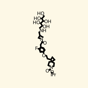 CC(C)OC(=O)N1CCC2(CCC2CCOc2ccc(CC(=O)N3CC(CNCC(O)C(O)C(O)C(O)CO)C3)c(F)c2)CC1